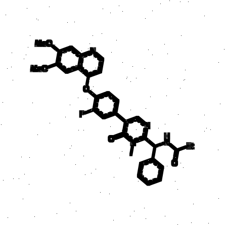 CCC(=O)NC(c1ccccc1)c1ncc(-c2ccc(Oc3ccnc4cc(OC)c(OC)cc34)c(F)c2)c(=O)n1C